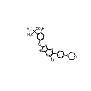 CC(C)(C(=O)O)c1cccc(Oc2nc3nc(-c4ccc(N5CCOCC5)cc4)c(Cl)cc3[nH]2)c1